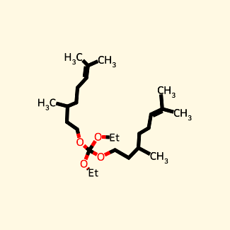 CCOC(OCC)(OCCC(C)CCC=C(C)C)OCCC(C)CCC=C(C)C